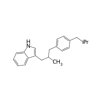 CC(C)Cc1ccc(CC(C)Cc2c[nH]c3ccccc23)cc1